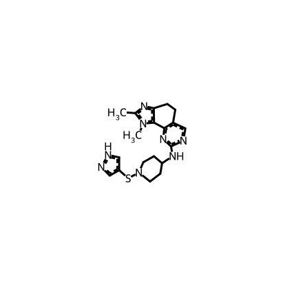 Cc1nc2c(n1C)-c1nc(NC3CCN(Sc4cn[nH]c4)CC3)ncc1CC2